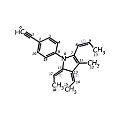 C#Cc1ccc(-n2c(/C=C\C)c(C)c(=C/C)/c2=C\C)cc1